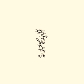 CC(C)(C)OC(=O)Nc1cccc(C(=O)NCCC(=O)OCc2ccccc2)c1